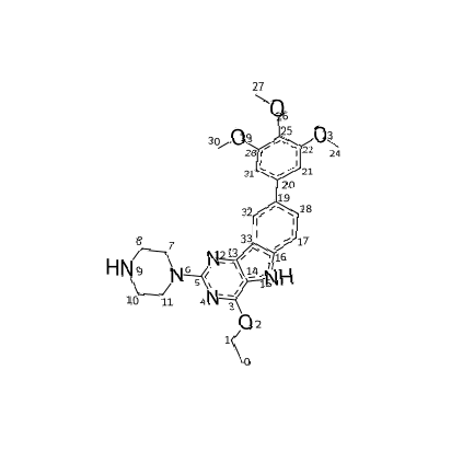 CCOc1nc(N2CCNCC2)nc2c1[nH]c1ccc(-c3cc(OC)c(OC)c(OC)c3)cc12